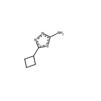 Nc1nnc(C2CCC2)s1